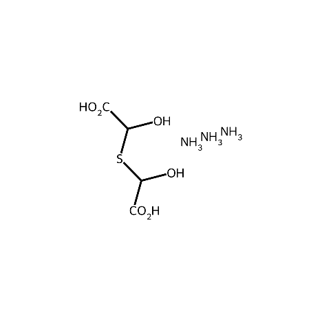 N.N.N.O=C(O)C(O)SC(O)C(=O)O